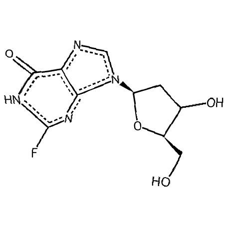 O=c1[nH]c(F)nc2c1ncn2[C@H]1CC(O)[C@@H](CO)O1